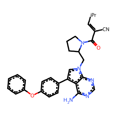 CC(C)C=C(C#N)C(=O)N1CCCC1Cn1cc(-c2ccc(Oc3ccccc3)cc2)c2c(N)ncnc21